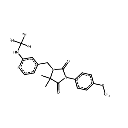 [2H]C([2H])([2H])Nc1cc(CN2C(=O)N(c3ccc(SC(F)(F)F)cc3)C(=O)C2(C)C)ccn1